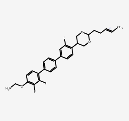 BCOc1ccc(-c2ccc(-c3ccc(C4COC(CC/C=C/C)OC4)c(F)c3)cc2)c(F)c1F